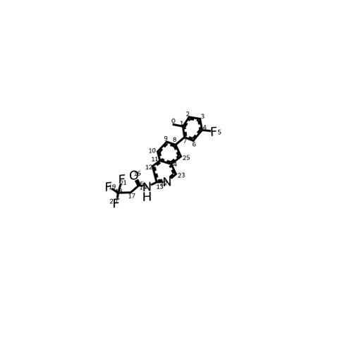 Cc1ccc(F)cc1-c1ccc2cc(NC(=O)CC(F)(F)F)ncc2c1